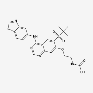 CC(C)(C)S(=O)(=O)c1cc2c(Nc3ccc4scnc4c3)ncnc2cc1OCCNC(=O)O